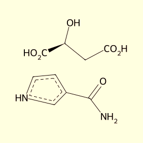 NC(=O)c1cc[nH]c1.O=C(O)C[C@H](O)C(=O)O